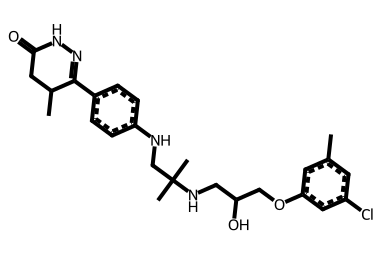 Cc1cc(Cl)cc(OCC(O)CNC(C)(C)CNc2ccc(C3=NNC(=O)CC3C)cc2)c1